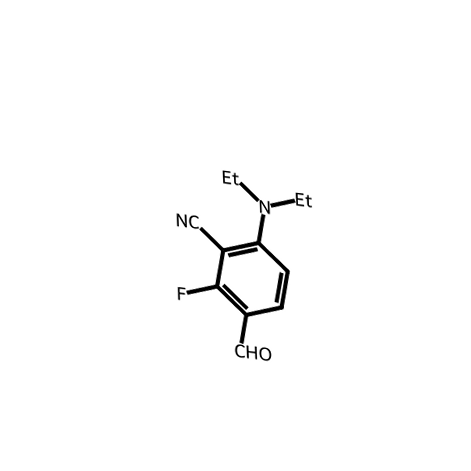 CCN(CC)c1ccc(C=O)c(F)c1C#N